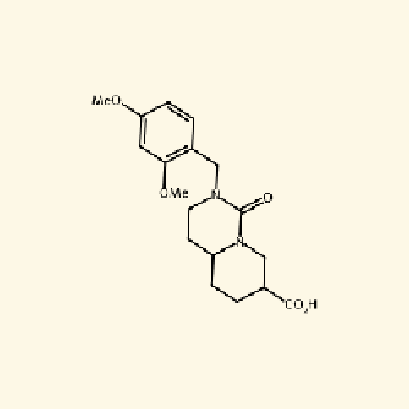 COc1ccc(CN2CCC3CCC(C(=O)O)CN3C2=O)c(OC)c1